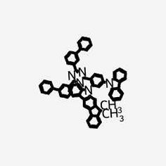 CC1(C)c2ccccc2-c2cc3c4ccccc4n(-c4cc(-n5c6ccccc6c6ccccc65)ccc4-c4nc(-c5cccc(-c6ccccc6)c5)nc(-c5cccc(-c6ccccc6)c5)n4)c3cc21